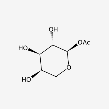 CC(=O)O[C@H]1OC[C@@H](O)[C@@H](O)[C@@H]1O